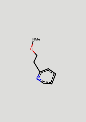 CNOCCc1ccccn1